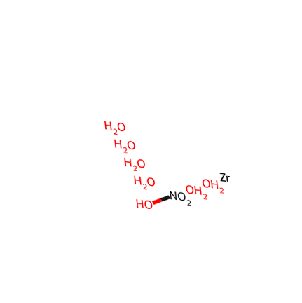 O.O.O.O.O.O.O=[N+]([O-])O.[Zr]